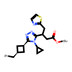 CC(C)C[C@H]1C[C@@H](c2nnc(C(CC(=O)OC(C)(C)C)Cc3nccs3)n2C2CC2)C1